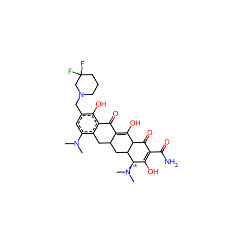 CN(C)c1cc(CN2CCCC(F)(F)C2)c(O)c2c1CC1CC3C(C(=O)C(C(N)=O)=C(O)[C@H]3N(C)C)C(O)=C1C2=O